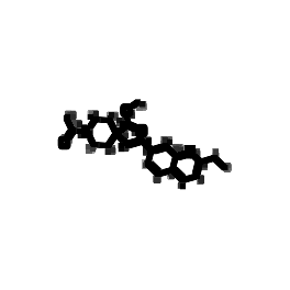 CCc1ccc2ccc(/C=C/C3(C(=O)OC)CCN(C(C)=O)CC3)cc2n1